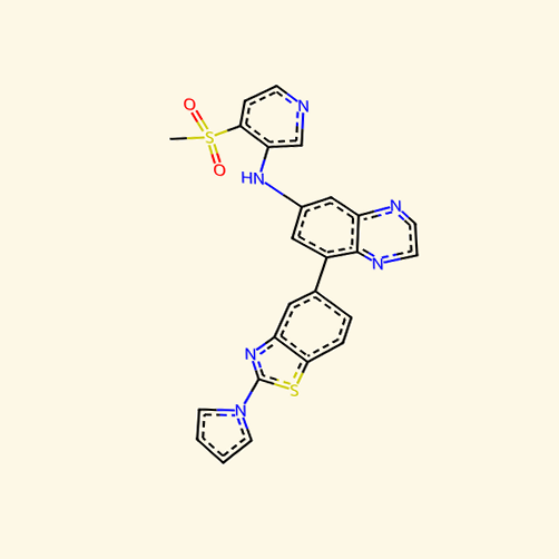 CS(=O)(=O)c1ccncc1Nc1cc(-c2ccc3sc(-n4cccc4)nc3c2)c2nccnc2c1